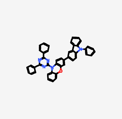 c1ccc(-c2nc(-c3ccccc3)nc(N3c4ccccc4Oc4cc(-c5ccc6c(c5)c5ccccc5n6-c5ccccc5)ccc43)n2)cc1